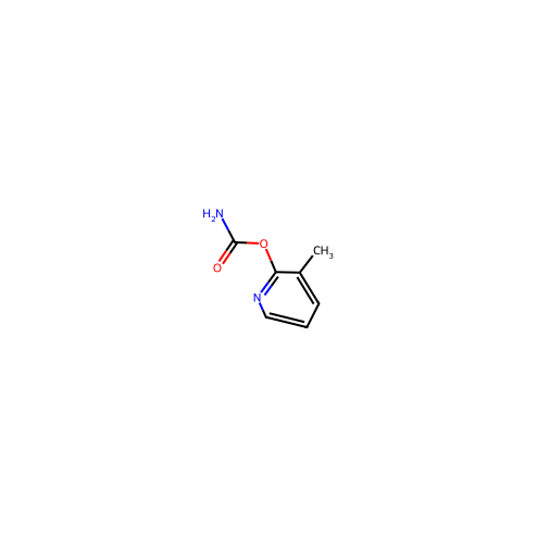 Cc1cccnc1OC(N)=O